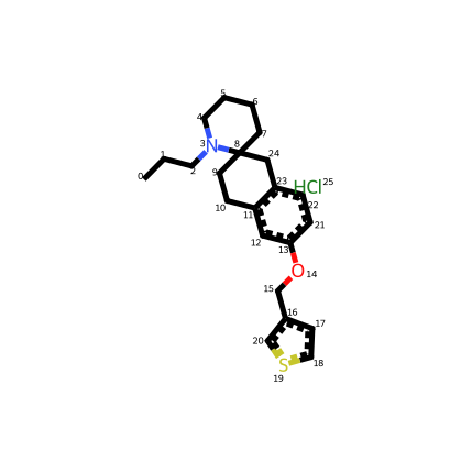 CCCN1CCCCC12CCc1cc(OCc3ccsc3)ccc1C2.Cl